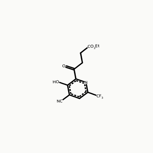 CCOC(=O)CCC(=O)c1nc(C(F)(F)F)cc(C#N)c1O